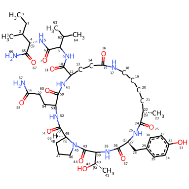 CCC(C)[C@H](NC(=O)C(NC(=O)C1CCC(=O)NCCCC[C@H](C)C(=O)N[C@@H](Cc2ccc(O)cc2)C(=O)NC([C@H](C)O)C(=O)N2CCC[C@H]2C(=O)NC(CCC(N)=O)C(=O)N1)C(C)C)C(N)=O